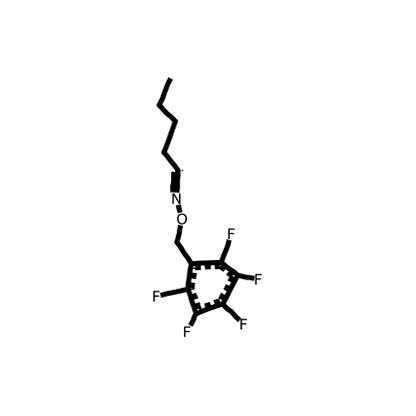 CCCC/[C]=N/OCc1c(F)c(F)c(F)c(F)c1F